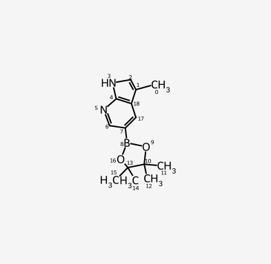 Cc1c[nH]c2ncc(B3OC(C)(C)C(C)(C)O3)cc12